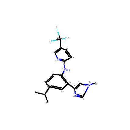 CC(C)c1ccc(Nc2ccc(C(F)(F)F)cn2)c(-c2cn(C)cn2)c1